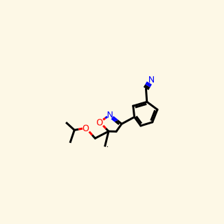 [CH2]C1(COC(C)C)CC(c2cccc(C#N)c2)=NO1